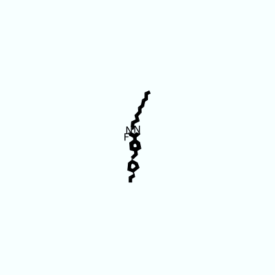 CCCCCCCCCCc1ncc(-c2ccc(CC[C@H]3CC[C@H](CCC)CC3)cc2)c(F)n1